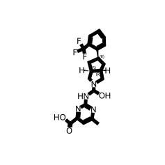 Cc1cc(C(=O)O)nc(NC(O)N2C[C@H]3C[C@@H](c4ccccc4C(F)(F)F)C[C@H]3C2)n1